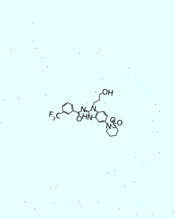 O=C(/N=c1\[nH]c2cc(N3CCCCS3(=O)=O)ccc2n1CCCO)c1cccc(C(F)(F)F)c1